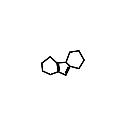 C1=C2CCCCC2C2=C1CCCC2